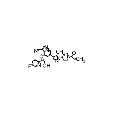 C=CC(=O)N1CCC(n2ncc(-c3cc(O[C@H](CO)c4ccc(F)cn4)c4c(C#N)cnn4c3)c2C)CC1